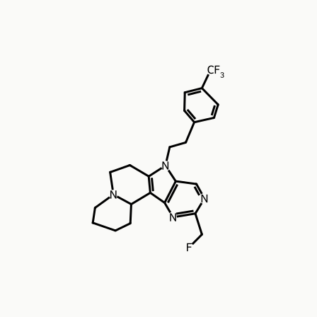 FCc1ncc2c(n1)c1c(n2CCc2ccc(C(F)(F)F)cc2)CCN2CCCCC12